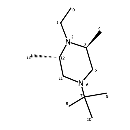 CCN1[C@@H](C)CN(C(C)(C)C)C[C@@H]1C